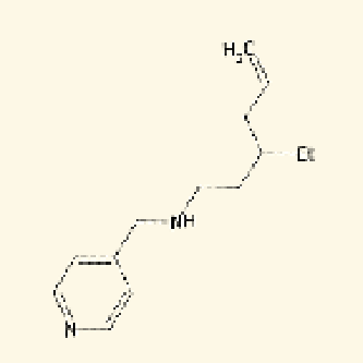 C=CCC(CC)CCNCc1ccncc1